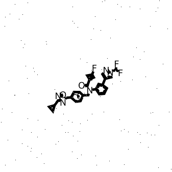 O=C(N(CC12CCC(c3nc(C4CC4)no3)(CC1)CC2)c1cccc(-c2cnn(C(F)F)c2)c1)C12CC(F)(C1)C2